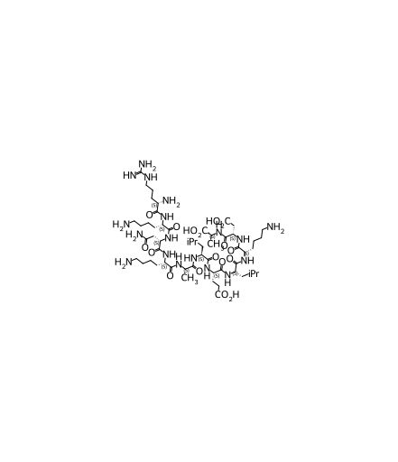 CC(C)C[C@H](NC(=O)[C@H](C)NC(=O)[C@H](CCCCN)NC(=O)[C@H](CC(N)=O)NC(=O)[C@H](CCCCN)NC(=O)[C@@H](N)CCCNC(=N)N)C(=O)N[C@@H](CCC(=O)O)C(=O)N[C@@H](CC(C)C)C(=O)N[C@@H](CCCCN)C(=O)N[C@@H](CC(=O)O)C(=O)N[C@@H](C)C(=O)O